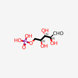 O=C[C@@H](O)[C@@H](O)[C@@H](O)COP(=O)(O)O